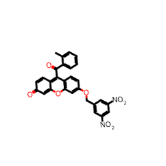 Cc1ccccc1C(=O)c1c2ccc(=O)cc-2oc2cc(OCc3cc([N+](=O)[O-])cc([N+](=O)[O-])c3)ccc12